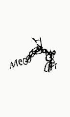 COCCOCCOCC(=O)OC1(c2ccc(N3CCC(OC(=O)/C=C/C(=O)OC(C)C)(c4ccccc4)CC3)cc2)CCNCC1